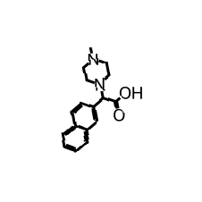 CN1CCN(C(C(=O)O)c2ccc3ccccc3c2)CC1